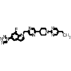 CCc1cnc(N2CCC(c3cnc(Cn4ccc5cc(-n6cnnn6)cc(F)c54)cn3)CC2)nc1